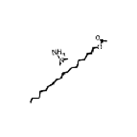 CCCCCCCCCCCCCCCCCCOC(C)=O.CN(C)C.N